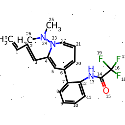 C=CC=CC1=CC(c2ccccc2NC(=O)C(F)(F)F)=CC=CN1N(C)C